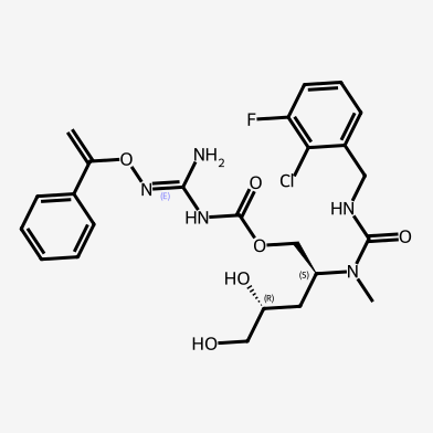 C=C(O/N=C(\N)NC(=O)OC[C@H](C[C@@H](O)CO)N(C)C(=O)NCc1cccc(F)c1Cl)c1ccccc1